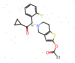 CCC(=O)Oc1cc2c(s1)CCN([C@H](C(=O)C1CC1)c1ccccc1F)C2